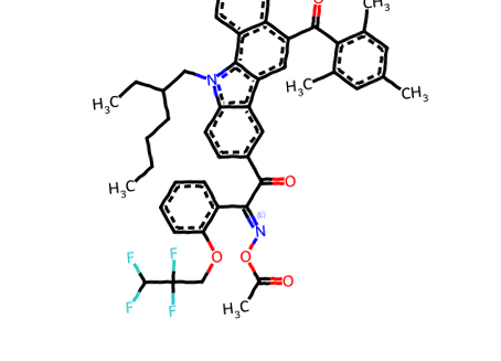 CCCCC(CC)Cn1c2ccc(C(=O)/C(=N/OC(C)=O)c3ccccc3OCC(F)(F)C(F)F)cc2c2cc(C(=O)c3c(C)cc(C)cc3C)c3ccccc3c21